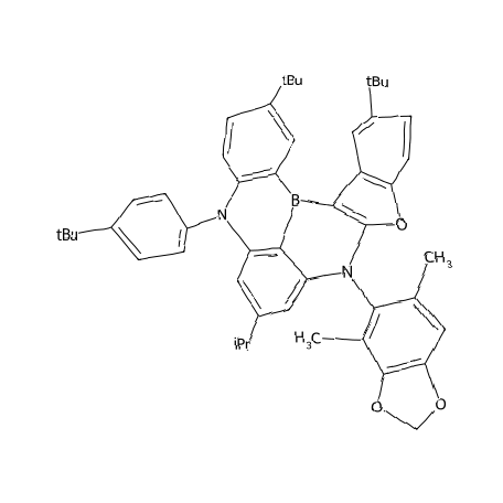 Cc1cc2c(c(C)c1N1c3cc(C(C)C)cc4c3B(c3cc(C(C)(C)C)ccc3N4c3ccc(C(C)(C)C)cc3)c3c1oc1ccc(C(C)(C)C)cc31)OCO2